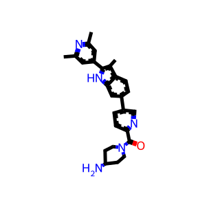 Cc1cc(-c2[nH]c3cc(-c4ccc(C(=O)N5CCC(N)CC5)nc4)ccc3c2C)cc(C)n1